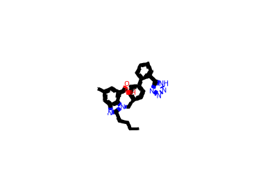 CCCCc1nc2cc(C)cc(C(=O)O)c2n1Cc1ccc(-c2ccccc2-c2nnn[nH]2)cc1